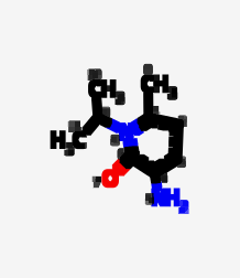 Cc1ccc(N)c(=O)n1C(C)C